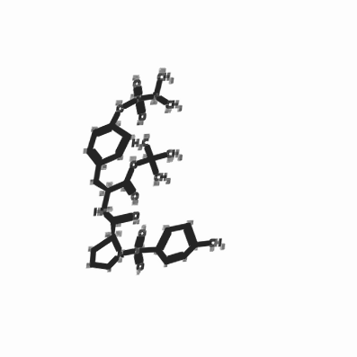 Cc1ccc(S(=O)(=O)N2CCC[C@H]2C(=O)N[C@@H](Cc2ccc(OS(=O)(=O)N(C)C)cc2)C(=O)OC(C)(C)C)cc1